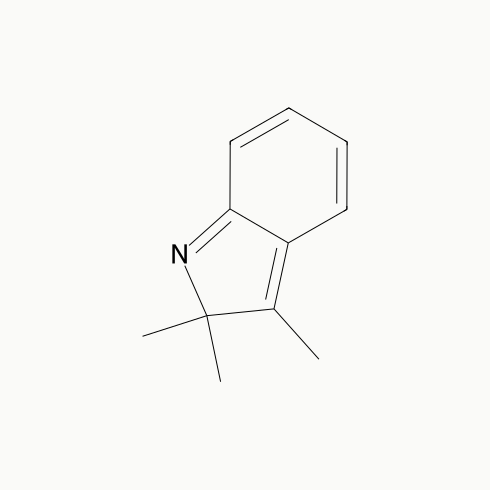 CC1=c2ccccc2=NC1(C)C